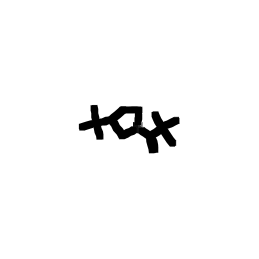 C=C(N1CCC(C(C)(C)C)C1)C(C)(C)C